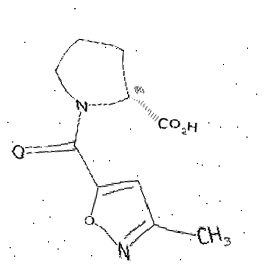 Cc1cc(C(=O)N2CCC[C@@H]2C(=O)O)on1